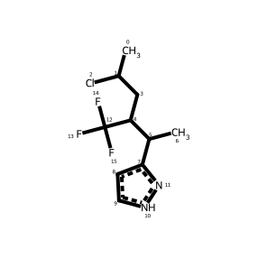 CC(Cl)CC(C(C)c1cc[nH]n1)C(F)(F)F